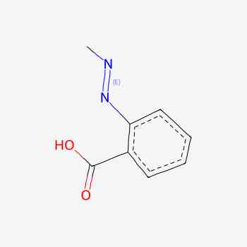 C/N=N/c1ccccc1C(=O)O